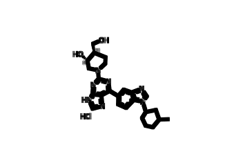 CC1CCCC(n2cnc3cc(-c4nc(N5CC[C@H](CO)[C@@H](O)C5)nc5[nH]cnc45)ccc32)C1.Cl